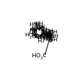 CCCC[C@H](NC(=O)[C@H](CO)NC(=O)[C@H](CO)NC(=O)[C@@H](CO)NC(=O)[C@H](CCCN)NC(=O)[C@@H](CO)NC(=O)CCCCCCCCCCCCCCCCC(=O)O)C(=O)N[C@H]1CCC(=O)NCCCC[C@@H](C(N)=O)NC(=O)[C@H](Cc2c[nH]c3ccccc23)NC(=O)[C@H](CCCNC(=N)N)NC(=O)[C@@H](Cc2ccccc2)NC(=O)[C@@H]2CCCN2C1=O